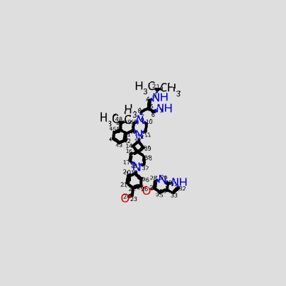 CC(C)N/C=C(\C=N)CN1CCN(C2CC3(CCN(c4ccc(C=O)c(Oc5cnc6[nH]ccc6c5)c4)CC3)C2)C(c2ccccc2C(C)C)C1